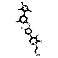 Cc1nn(C)c(C)c1-c1cc(F)nc(O[C@H]2CN(c3cnn(CCO)c(=O)c3Cl)C[C@@H]2F)c1